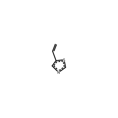 C=Cc1cncs1